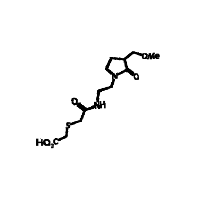 COCC1CCN(CCNC(=O)CSCC(=O)O)C1=O